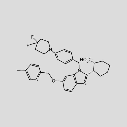 Cc1ccc(COc2ccc3nc([C@H]4CCCC[C@H]4C(=O)O)n(Cc4ccc(N5CCC(F)(F)CC5)cc4)c3c2)nc1